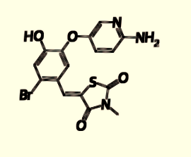 CN1C(=O)S/C(=C\c2cc(Oc3ccc(N)nc3)c(O)cc2Br)C1=O